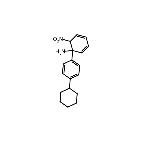 NC1(c2ccc(C3CCCCC3)cc2)C=CC=CC1[N+](=O)[O-]